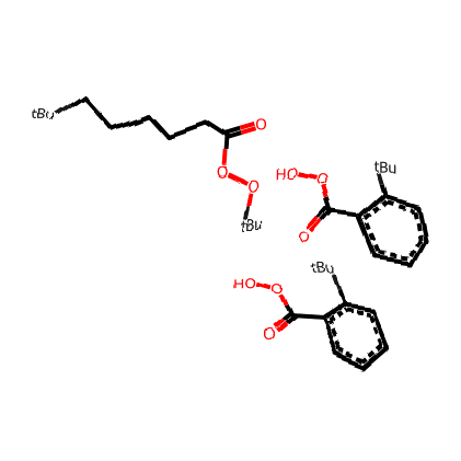 CC(C)(C)CCCCCC(=O)OOC(C)(C)C.CC(C)(C)c1ccccc1C(=O)OO.CC(C)(C)c1ccccc1C(=O)OO